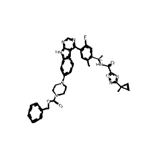 Cc1cc(-c2ncnc3[nH]c4cc(N5CCN(C(=O)OCc6ccccc6)CC5)ccc4c23)c(F)cc1[C@@H](C)NC(=O)c1nc(C2(C)CC2)no1